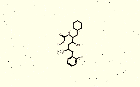 CC(C)(C)OC(=O)NC(CC1CCCCC1)C(O)CC(Cc1ccccc1C#N)C(=O)O